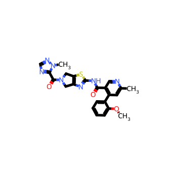 COc1ccccc1-c1cc(C)ncc1C(=O)Nc1nc2c(s1)CN(C(=O)c1ncnn1C)C2